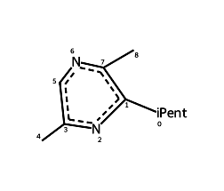 CCCC(C)c1nc(C)cnc1C